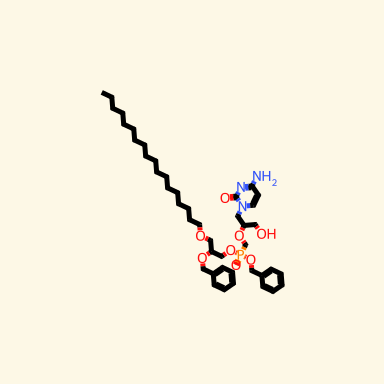 CCCCCCCCCCCCCCCCCCOCC(COP(=O)(COC(CO)Cn1ccc(N)nc1=O)OCc1ccccc1)OCc1ccccc1